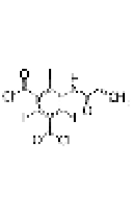 C=CC(=O)Nc1c(I)c(C(=O)Cl)c(I)c(C(=O)Cl)c1I